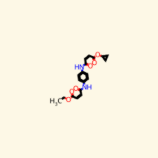 CCOC(=O)/C=C\C(=O)Nc1ccc(NC(=O)/C=C\C(=O)OC2CC2)cc1